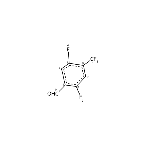 O=Cc1cc(F)c(C(F)(F)F)cc1F